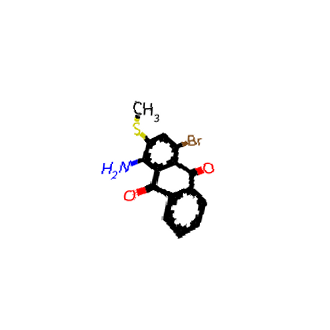 CSc1cc(Br)c2c(c1N)C(=O)c1ccccc1C2=O